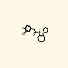 CN(C(=O)Cc1ccc(Cl)c(Cl)c1)[C@@H]1CCCCC[C@H]1N1CCCC1